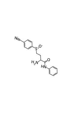 N#Cc1ccc([S+]([O-])CCC(N)C(=O)Nc2ccccc2)cc1